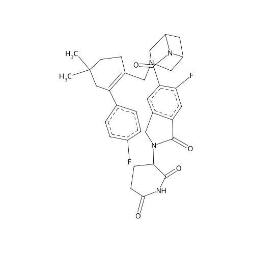 CC1(C)CCC(CN2CC3CC(C2)N3C(=O)c2cc3c(cc2F)C(=O)N(C2CCC(=O)NC2=O)C3)=C(c2ccc(F)cc2)C1